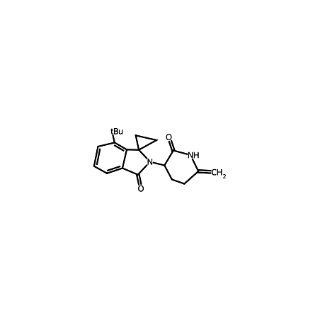 C=C1CCC(N2C(=O)c3cccc(C(C)(C)C)c3C23CC3)C(=O)N1